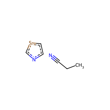 CCC#N.c1cscn1